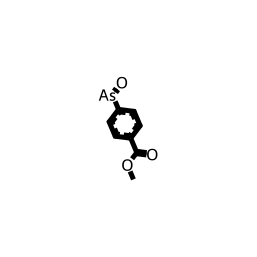 COC(=O)c1ccc([As]=O)cc1